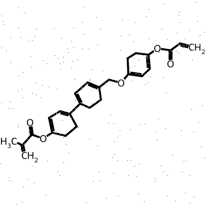 C=CC(=O)OC1=CC=C(OCC2=CC=C(C3=CC=C(OC(=O)C(=C)C)CC3)CC2)CC1